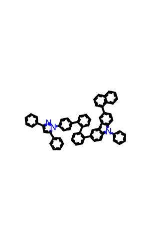 c1ccc(-c2cc(-c3ccccc3)n(-c3ccc(-c4ccccc4-c4ccccc4-c4ccc5c(c4)c4cc(-c6cccc7ccccc67)ccc4n5-c4ccccc4)cc3)n2)cc1